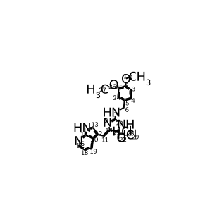 COc1ccc(CNC2=N/C(=C\c3c[nH]c4ncccc34)C(=O)N2)cc1OC.Cl.Cl